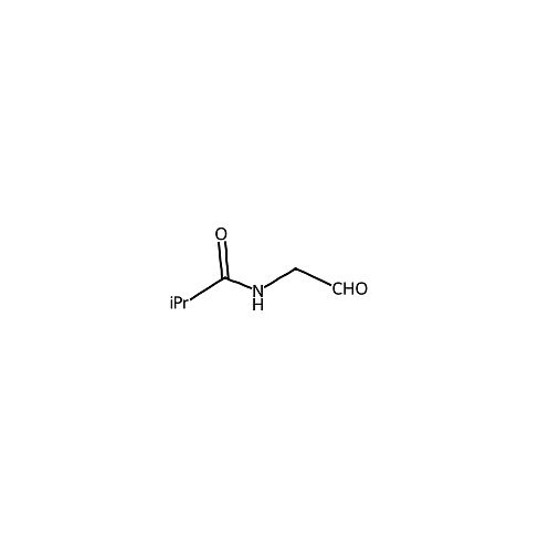 CC(C)C(=O)NCC=O